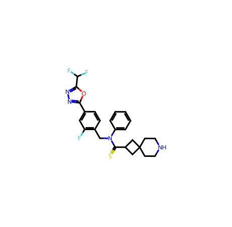 Fc1cc(-c2nnc(C(F)F)o2)ccc1CN(C(=S)C1CC2(CCNCC2)C1)c1ccccc1